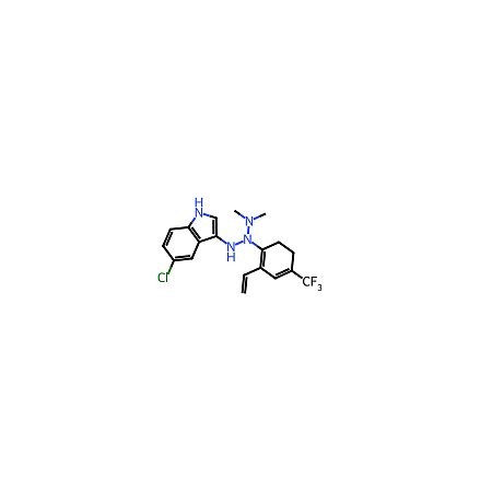 C=CC1=C(N(Nc2c[nH]c3ccc(Cl)cc23)N(C)C)CCC(C(F)(F)F)=C1